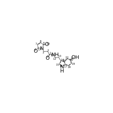 O=C(CCN1C(=O)C=CC1=O)NCCc1c[nH]c2ccc(O)cc12